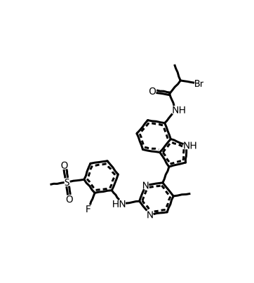 Cc1cnc(Nc2cccc(S(C)(=O)=O)c2F)nc1-c1c[nH]c2c(NC(=O)C(C)Br)cccc12